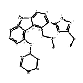 CCc1noc(-c2ncc3[nH]c4cccc(OC5C=CCCC5)c4c3c2COC)n1